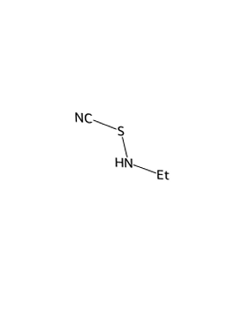 CCNSC#N